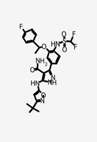 CC(Oc1cc(-c2n[nH]c(Nc3cc(C(C)(C)C)no3)c2C(N)=O)ccc1NS(=O)(=O)C(F)F)c1ccc(F)cc1